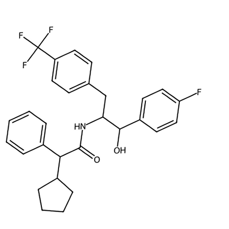 O=C(NC(Cc1ccc(C(F)(F)F)cc1)C(O)c1ccc(F)cc1)C(c1ccccc1)C1CCCC1